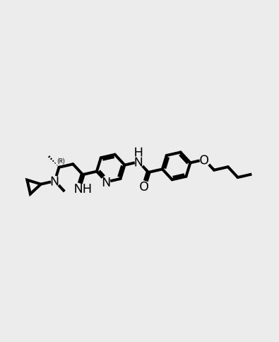 CCCCOc1ccc(C(=O)Nc2ccc(C(=N)C[C@@H](C)N(C)C3CC3)nc2)cc1